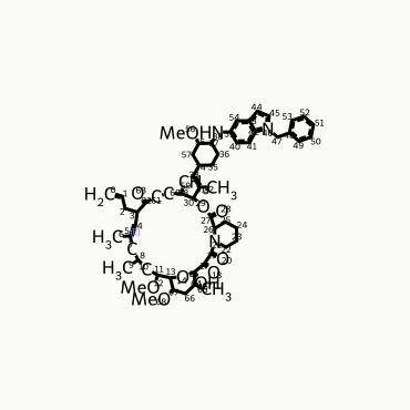 C=CCC1/C=C(\C)CC(C)CC(OC)C2OC(O)(C(=O)C(=O)N3CCCCC3C(=O)OC(C(C)=CC3CCC(Nc4ccc5c(ccn5Cc5ccccc5)c4)C(OC)C3)C(C)CCC1=O)C(C)CC2OC